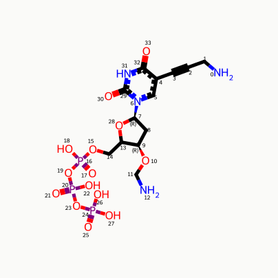 NCC#Cc1cn([C@H]2C[C@@H](OCN)C(COP(=O)(O)OP(=O)(O)OP(=O)(O)O)O2)c(=O)[nH]c1=O